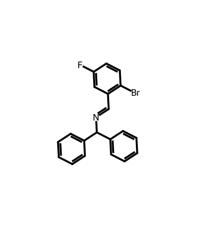 Fc1ccc(Br)c(C=NC(c2ccccc2)c2ccccc2)c1